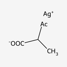 CC(=O)C(C)C(=O)[O-].[Ag+]